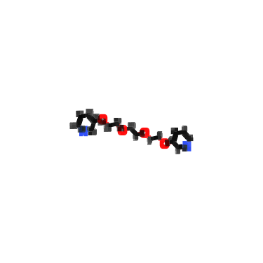 c1cncc(OCCOCCOCCOc2cccnc2)c1